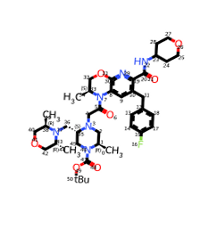 C[C@@H]1CN(CC(=O)N2c3cc(Cc4ccc(F)cc4)c(C(=O)NC4CCOCC4)nc3OC[C@@H]2C)[C@@H](CN2[C@H](C)COC[C@H]2C)CN1C(=O)OC(C)(C)C